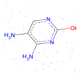 Nc1cnc(O)nc1N